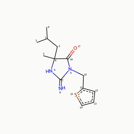 CC(C)CC1(C)NC(=N)N(Cc2cccs2)C1=O